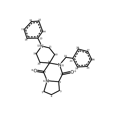 O=C1C2CCCN2C(=O)C2(CCN(c3ccccc3)CC2)N1Cc1ccccc1